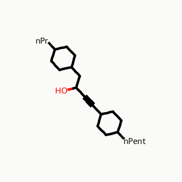 CCCCCC1CCC(C#CC(O)CC2CCC(CCC)CC2)CC1